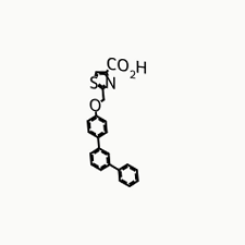 O=C(O)c1csc(COc2ccc(-c3cccc(-c4ccccc4)c3)cc2)n1